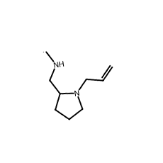 [CH2]NCC1CCCN1CC=C